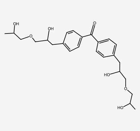 CC(O)COCC(O)Cc1ccc(C(=O)c2ccc(CC(O)COCC(C)O)cc2)cc1